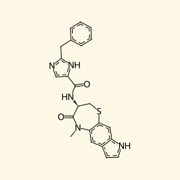 CN1C(=O)[C@@H](NC(=O)c2cnc(Cc3ccccc3)[nH]2)CSc2cc3[nH]ccc3cc21